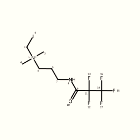 C[N+](C)(CI)CCCNC(=O)C(F)(F)C(F)(F)F